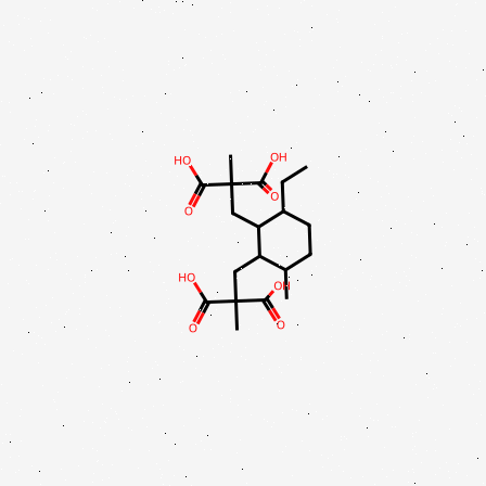 CCC1CCC(C)C(CC(C)(C(=O)O)C(=O)O)C1CC(C)(C(=O)O)C(=O)O